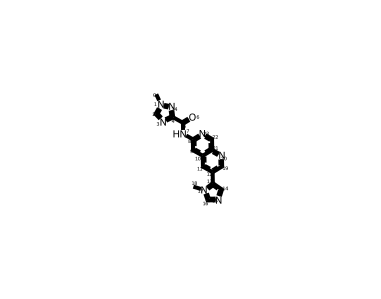 Cn1cnc(C(=O)Nc2cc3cc(-c4cncn4C)cnc3cn2)n1